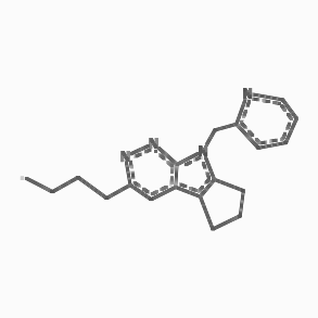 [CH2]CCCc1cc2c3c(n(Cc4ccccn4)c2nn1)CCC3